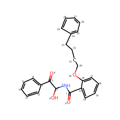 O=C(NC(O)C(=O)c1ccccc1)c1ccccc1OCCCCc1ccccc1